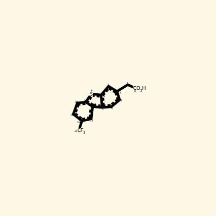 O=C(O)Cc1ccc2c(c1)sc1ccc(C(F)(F)F)cc12